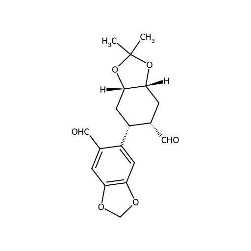 CC1(C)O[C@H]2C[C@@H](c3cc4c(cc3C=O)OCO4)[C@@H](C=O)C[C@H]2O1